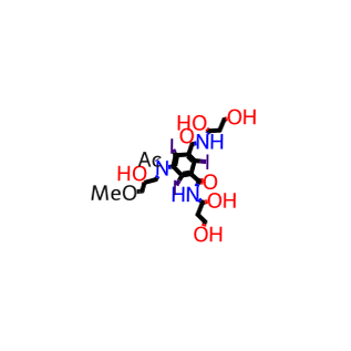 COCC(O)CN(C(C)=O)c1c(I)c(C(=O)NC(O)CCO)c(I)c(C(=O)NC(O)CCO)c1I